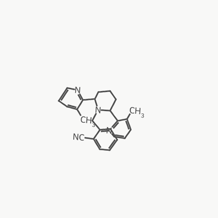 Cc1cccnc1C1CCCC(c2ncccc2C)N1Cc1ccccc1C#N